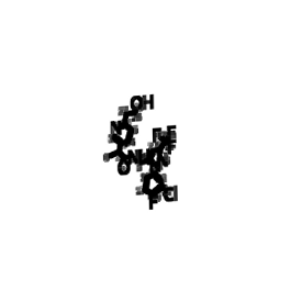 CC(C(=O)NCc1cc(C(F)(F)F)nn1-c1ccc(F)c(Cl)c1)c1ccc(CCO)nc1